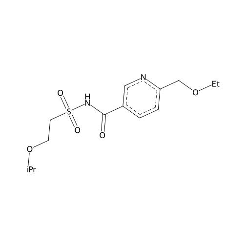 CCOCc1ccc(C(=O)NS(=O)(=O)CCOC(C)C)cn1